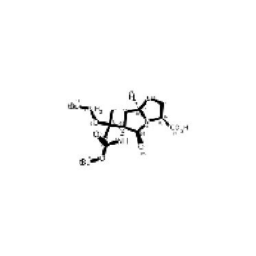 CC(C)(C)OC(=O)N[C@]1(C(C)(C)O[SiH2]C(C)(C)C)C[C@H]2SC[C@@H](C(=O)O)N2C1=O